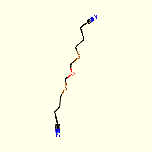 N#CCCCSCOCSCCCC#N